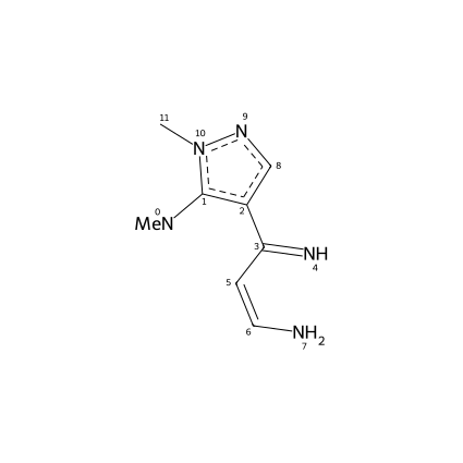 CNc1c(C(=N)/C=C\N)cnn1C